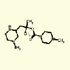 BN1CCNC(CC(C)(C)OC(=O)N2CCN(C)CC2)C1